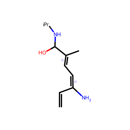 C=C/C(N)=C\C=C(/C)C(O)NC(C)C